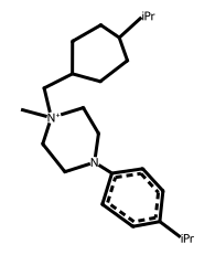 CC(C)c1ccc(N2CC[N+](C)(CC3CCC(C(C)C)CC3)CC2)cc1